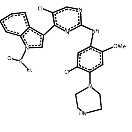 CC[S+]([O-])n1cc(-c2nc(Nc3cc(Cl)c(N4CCNCC4)cc3OC)ncc2Cl)c2ccccc21